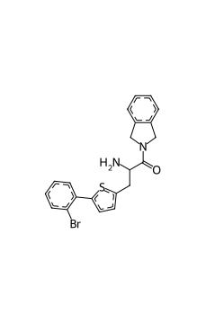 NC(Cc1ccc(-c2ccccc2Br)s1)C(=O)N1Cc2ccccc2C1